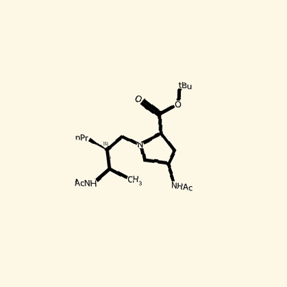 CCC[C@@H](CN1CC(NC(C)=O)CC1C(=O)OC(C)(C)C)C(C)NC(C)=O